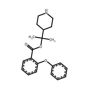 CC(C)(OC(=O)c1ccccc1Oc1ccccc1)C1CCNCC1